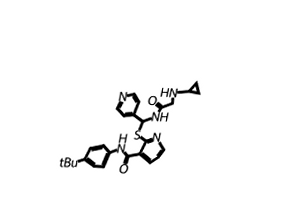 CC(C)(C)c1ccc(NC(=O)c2cccnc2SC(NC(=O)CNC2CC2)c2ccncc2)cc1